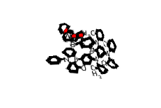 Cc1cccc(C)c1N1c2cc3c(cc2B2c4cc5c(cc4N(c4c(C)cccc4C)c4cc(N(c6ccccc6)c6ccccc6)cc1c42)Oc1cccc2c1B5c1ccccc1N2c1ccccc1)B1c2ccccc2N(c2ccccc2)c2cccc(c21)O3